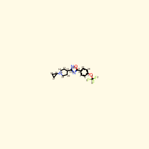 FC(F)(F)Oc1ccc(-c2nc(C3CCN(C4CC4)CC3)no2)cc1